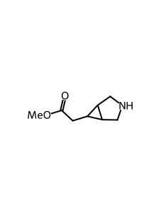 COC(=O)CC1C2CNCC21